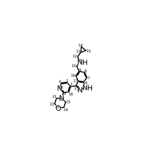 c1cc(-c2n[nH]c3ccc(CNCC4CC4)cc23)cc(N2CCOCC2)n1